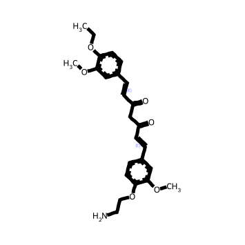 CCOc1ccc(/C=C/C(=O)CC(=O)/C=C/c2ccc(OCCN)c(OC)c2)cc1OC